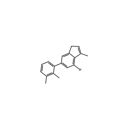 CC1=CCc2cc(-c3cccc(C)c3C)cc(Br)c21